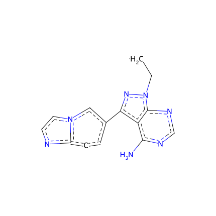 [CH2]Cn1nc(-c2ccc3nccn3c2)c2c(N)ncnc21